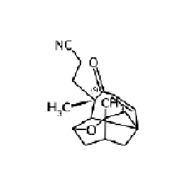 CC12CC34C=CC(=O)[C@@](C)(CCC#N)C3C(CC1C4)O2